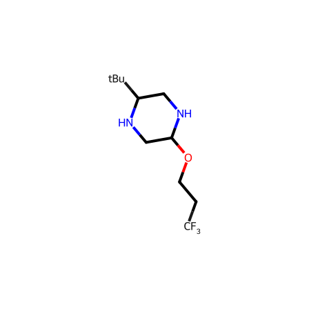 CC(C)(C)C1CNC(OCCC(F)(F)F)CN1